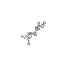 CC1CC(Nc2cncc(-c3cnc(Nc4cccc(Cl)c4)nc3)c2)CCN1C=CC=O